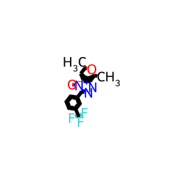 CC1OC2(C)CCC1c1c2nnc(-c2cccc(C(F)(F)F)c2)[n+]1[O-]